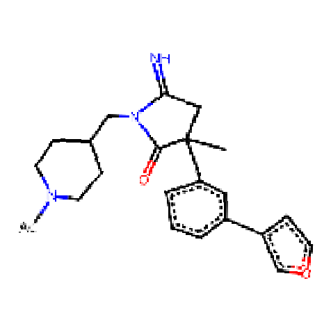 CC(=O)N1CCC(CN2C(=N)CC(C)(c3cccc(-c4ccoc4)c3)C2=O)CC1